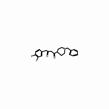 O=C(CC(=O)C1CCN(Cc2ccccc2)CC1)Cc1ccc(F)c(F)c1